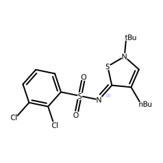 CCCCc1cn(C(C)(C)C)s/c1=N\S(=O)(=O)c1cccc(Cl)c1Cl